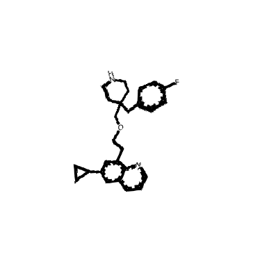 Fc1ccc(CC2(COCCc3cc(C4CC4)cc4cccnc34)CCNCC2)cc1